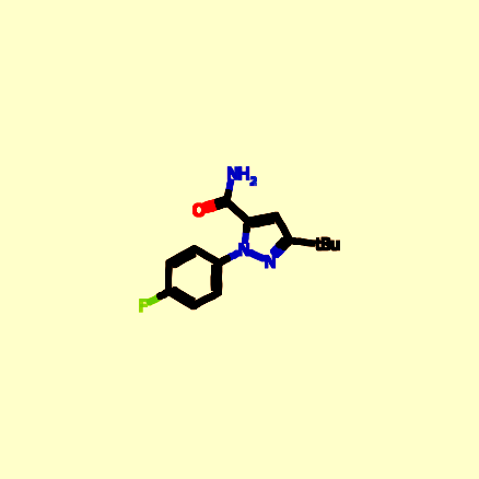 CC(C)(C)c1cc(C(N)=O)n(-c2ccc(F)cc2)n1